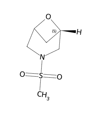 CS(=O)(=O)N1CC2C[C@@H](C1)O2